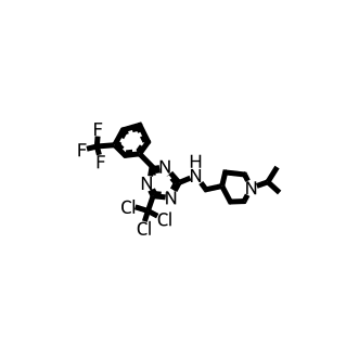 CC(C)N1CCC(CNc2nc(-c3cccc(C(F)(F)F)c3)nc(C(Cl)(Cl)Cl)n2)CC1